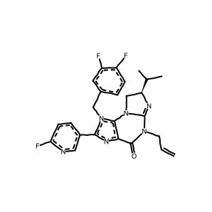 C=CCN1C(=O)c2nc(-c3ccc(F)nc3)n(Cc3ccc(F)c(F)c3)c2N2C[C@@H](C(C)C)N=C12